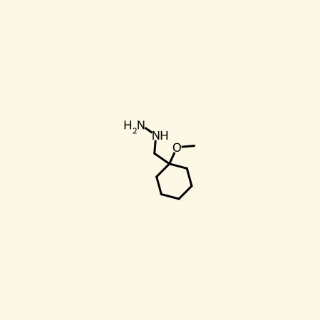 COC1(CNN)CCCCC1